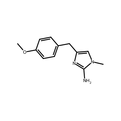 COc1ccc(Cc2cn(C)c(N)n2)cc1